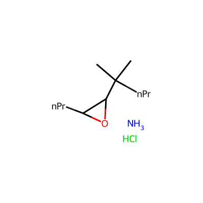 CCCC1OC1C(C)(C)CCC.Cl.N